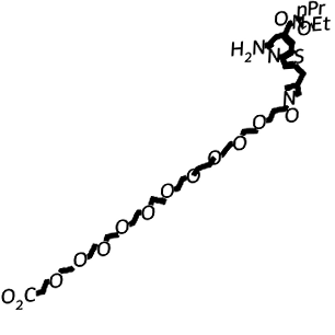 CCCN(OCC)C(=O)C1=Cc2sc(CC3CN(C(=O)CCOCCOCCOCCOCCOCCOCCOCCOCCOCCOCCC(=O)O)C3)cc2N=C(N)C1